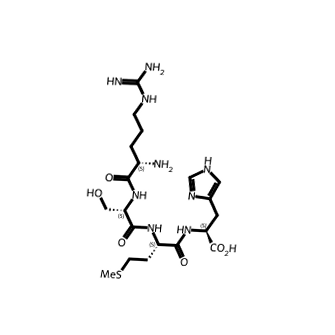 CSCC[C@H](NC(=O)[C@H](CO)NC(=O)[C@@H](N)CCCNC(=N)N)C(=O)N[C@@H](Cc1c[nH]cn1)C(=O)O